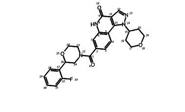 O=C(c1ccc2c(c1)[nH]c(=O)c1cnn(C3CCOCC3)c12)N1CCOC(c2ccccc2F)C1